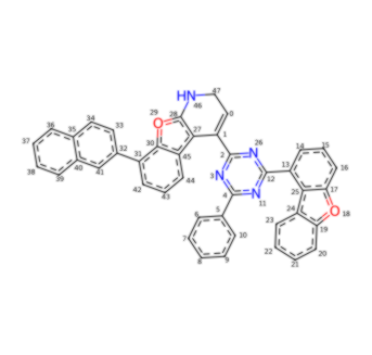 C1=C(c2nc(-c3ccccc3)nc(-c3cccc4oc5ccccc5c34)n2)c2c(oc3c(-c4ccc5ccccc5c4)cccc23)NC1